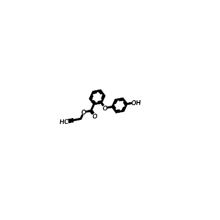 C#CCOC(=O)c1ccccc1Oc1ccc(O)cc1